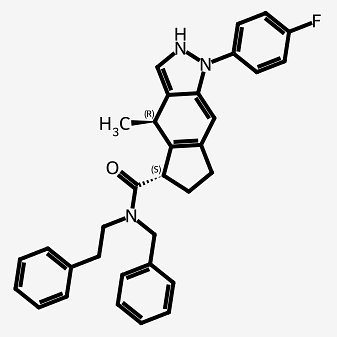 C[C@H]1C2=CNN(c3ccc(F)cc3)C2=CC2=C1[C@@H](C(=O)N(CCc1ccccc1)Cc1ccccc1)CC2